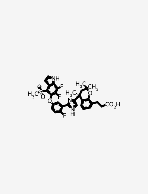 CC1(C)C[C@](C)(c2c[nH]c(-c3cc(Oc4c(F)c(F)c5[nH]ccc5c4S(C)(=O)=O)ccc3F)n2)c2cccc(CCC(=O)O)c2O1